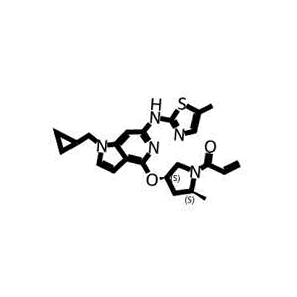 C=CC(=O)N1C[C@@H](Oc2nc(Nc3ncc(C)s3)cc3c2ccn3CC2CC2)C[C@@H]1C